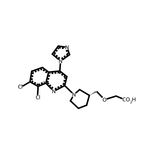 O=C(O)COC[C@@H]1CCCN(c2cc(-n3ccnc3)c3ccc(Cl)c(Cl)c3n2)C1